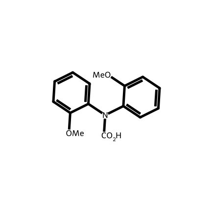 COc1ccccc1N(C(=O)O)c1ccccc1OC